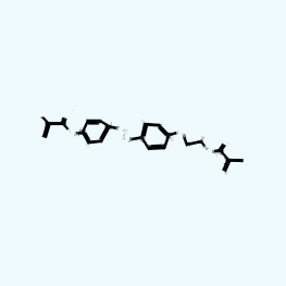 C=C(C)C(=O)Nc1ccc(N=Nc2ccc(OCCOC(=O)C(=C)C)cc2)cc1